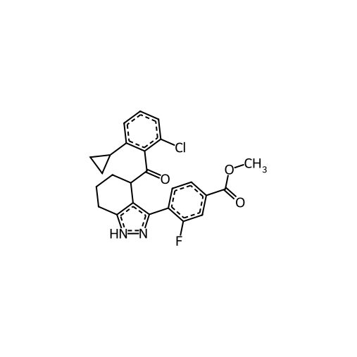 COC(=O)c1ccc(-c2n[nH]c3c2C(C(=O)c2c(Cl)cccc2C2CC2)CCC3)c(F)c1